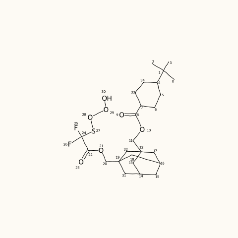 CC(C)(C)C1CCC(C(=O)OCC23CC4CC(C2)CC(COC(=O)C(F)(F)SOOO)(C4)C3)CC1